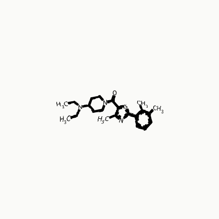 CCN(CC)C1CCN(C(=O)c2sc(-c3cccc(C)c3C)nc2C)CC1